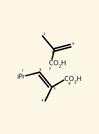 C=C(C)C(=O)O.CC(=CC(C)C)C(=O)O